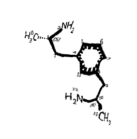 C[C@H](N)Cc1cccc(C[C@@H](C)N)c1